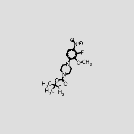 COc1c(N2CCN(C(=O)OC(C)(C)C)CC2)ccc([N+](=O)[O-])c1F